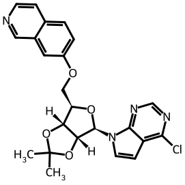 CC1(C)O[C@@H]2[C@H](O1)[C@@H](COc1ccc3ccncc3c1)O[C@H]2n1ccc2c(Cl)ncnc21